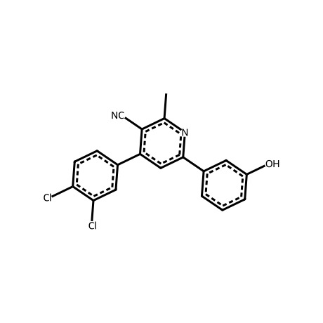 Cc1nc(-c2cccc(O)c2)cc(-c2ccc(Cl)c(Cl)c2)c1C#N